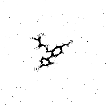 C=C(CC)C(=O)OCc1cc(CCO)ccc1-c1ccc(C)cc1F